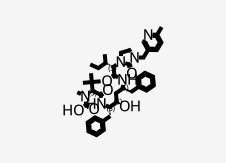 CCC(C)[C@@H](C(=O)N[C@@H](Cc1ccccc1)C[C@H](O)[C@H](Cc1ccccc1)NC(=O)[C@@H](N(C)C(=O)O)C(C)(C)C)N1CCN(Cc2ccc(C)nc2)C1=O